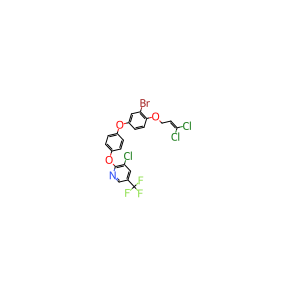 FC(F)(F)c1cnc(Oc2ccc(Oc3ccc(OCC=C(Cl)Cl)c(Br)c3)cc2)c(Cl)c1